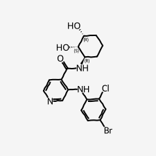 O=C(N[C@@H]1CCC[C@@H](O)[C@H]1O)c1ccncc1Nc1ccc(Br)cc1Cl